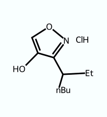 CCCCC(CC)c1nocc1O.Cl